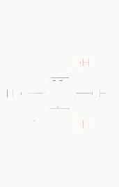 CC(=O)c1c(C)cc(O)c(C)c1O